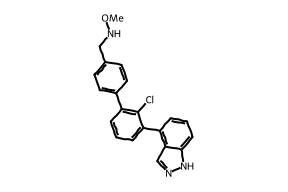 CONCc1ccc(-c2cccc(-c3cccc4[nH]ncc34)c2Cl)cc1